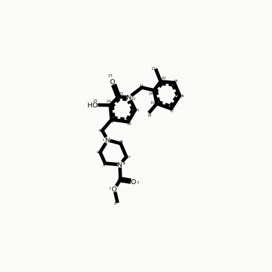 COC(=O)N1CCN(Cc2ccn(Cc3c(C)cccc3C)c(=O)c2O)CC1